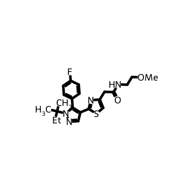 CCC(C)(C)n1ncc(-c2nc(CC(=O)NCCOC)cs2)c1-c1ccc(F)cc1